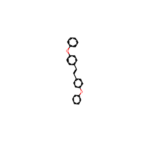 C(=C\c1ccc(Oc2ccccc2)cc1)/c1ccc(Oc2ccccc2)cc1